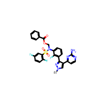 CCn1cc(-c2ccnc(N)n2)c(-c2cccc(N(COC(=O)c3ccccc3)S(=O)(=O)c3cc(F)ccc3F)c2F)n1